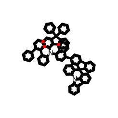 c1ccc(-c2ccccc2-c2ccccc2N(c2cccc3c2-c2ccccc2C3(c2ccccc2)c2ccccc2)c2ccc(-c3ccc4c(c3)C3(c5ccccc5-4)c4ccccc4-n4c5ccccc5c5cccc3c54)c3ccccc23)cc1